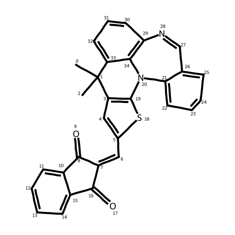 CC1(C)c2cc(C=C3C(=O)c4ccccc4C3=O)sc2N2c3ccccc3C=Nc3cccc1c32